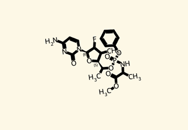 COC(=O)C(C)NP(=O)(Oc1ccccc1)OC(C)[C@H]1O[C@@H](n2ccc(N)nc2=O)C(F)C1C